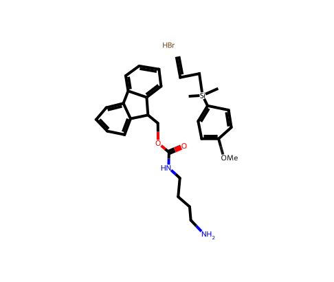 Br.C=CC[Si](C)(C)c1ccc(OC)cc1.NCCCCNC(=O)OCC1c2ccccc2-c2ccccc21